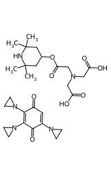 CC1(C)CC(OC(=O)CN(CC(=O)O)CC(=O)O)CC(C)(C)N1.O=C1C=C(N2CC2)C(=O)C(N2CC2)=C1N1CC1